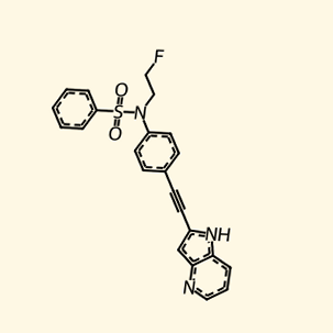 O=S(=O)(c1ccccc1)N(CCF)c1ccc(C#Cc2cc3ncccc3[nH]2)cc1